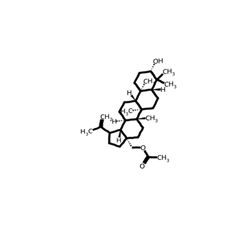 C=C(C)C1CC[C@]2(COC(C)=O)CC[C@]3(C)[C@H](CC[C@@H]4[C@@]5(C)CC[C@H](O)C(C)(C)[C@@H]5CC[C@]43C)[C@@H]12